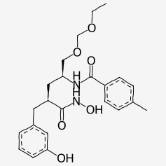 CCOCOC[C@H](C[C@H](Cc1cccc(O)c1)C(=O)NO)NC(=O)c1ccc(C)cc1